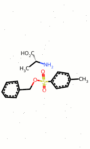 C[C@@H](N)C(=O)O.Cc1ccc(S(=O)(=O)OCc2ccccc2)cc1